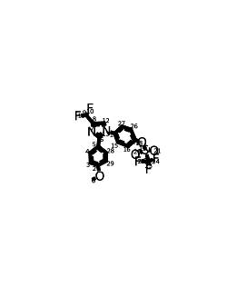 COc1ccc(-c2nc(C(F)F)cn2-c2ccc(OS(=O)(=O)C(F)(F)F)cc2)cc1